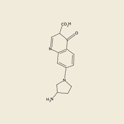 NC1CCN(c2ccc3c(c2)N=CC(C(=O)O)C3=O)C1